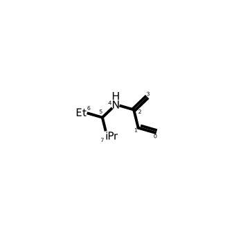 C=CC(=C)NC(CC)C(C)C